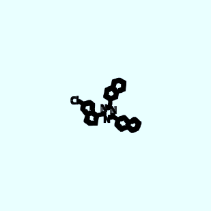 Clc1ccc2c(-c3nc(-c4ccc5ccccc5c4)nc(-c4ccc5ccccc5c4)n3)cccc2c1